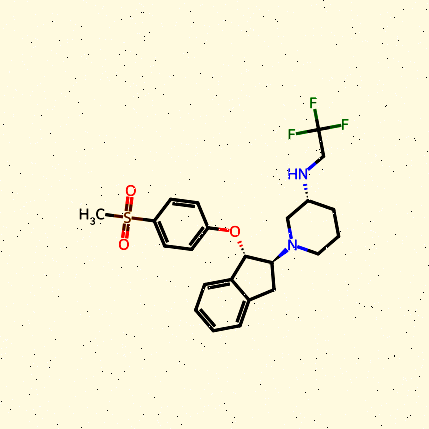 CS(=O)(=O)c1ccc(O[C@H]2c3ccccc3C[C@@H]2N2CCC[C@@H](NCC(F)(F)F)C2)cc1